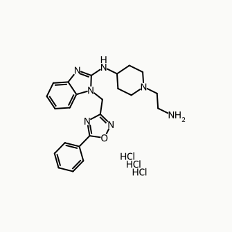 Cl.Cl.Cl.NCCN1CCC(Nc2nc3ccccc3n2Cc2noc(-c3ccccc3)n2)CC1